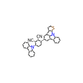 N#Cc1c(-c2cc3c4ccccc4n4c5sccc5c(c2)c34)ccc(-n2c3ccccc3c3ccccc32)c1C#N